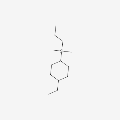 CCC[Si](C)(C)C1CCC(CC)CC1